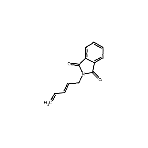 C=C/C=C/CN1C(=O)c2ccccc2C1=O